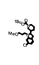 COCCCN1c2cc(Cl)ccc2CC1C1CCCN(C(=O)OC(C)(C)C)C1